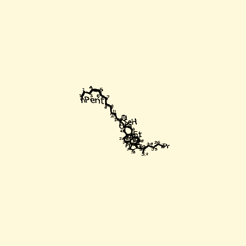 CCCCC/C=C\C/C=C\CCCCCCCC(=O)OC1([SeH])CC[C@@]2(CC)C(=CC[C@@H]3[C@@H]2CC[C@]2(C)[C@@H]([C@H](C)CCCC(C)C)CC[C@@H]32)C1